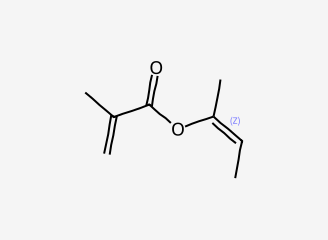 C=C(C)C(=O)O/C(C)=C\C